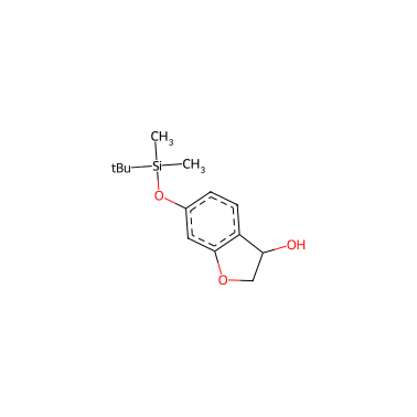 CC(C)(C)[Si](C)(C)Oc1ccc2c(c1)OCC2O